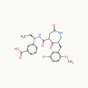 CC[C@@H](NC(=O)C1CC(=O)NC[C@@H](Cc2cc(Cl)ccc2OC)C1=O)c1cccc(C(=O)O)c1